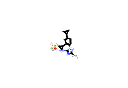 Nc1nc(C(F)(F)F)nn1-c1ccc(C2CC2)cc1C1CC1.O=S(=O)(Cl)Cl